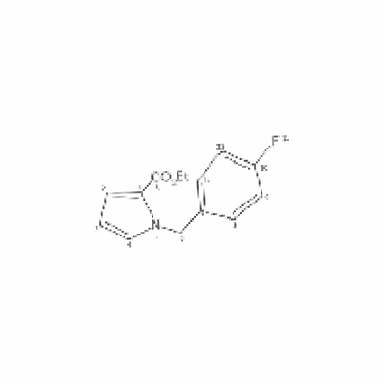 CCOC(=O)c1cccn1Cc1ccc(F)cc1